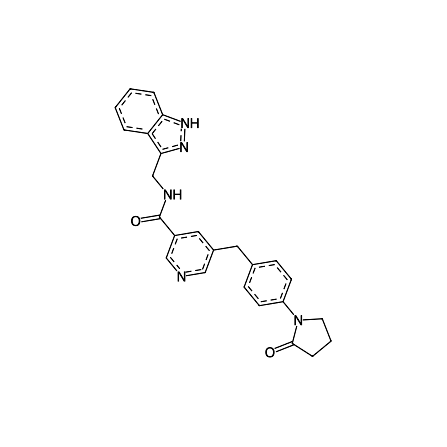 O=C(NCc1n[nH]c2ccccc12)c1cncc(Cc2ccc(N3CCCC3=O)cc2)c1